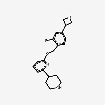 Fc1cc(C2COC2)ccc1COc1cccc(C2CCNCC2)n1